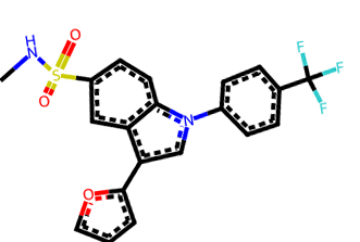 CNS(=O)(=O)c1ccc2c(c1)c(-c1ccco1)cn2-c1ccc(C(F)(F)F)cc1